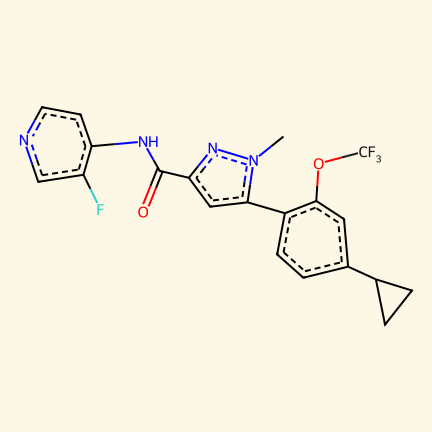 Cn1nc(C(=O)Nc2ccncc2F)cc1-c1ccc(C2CC2)cc1OC(F)(F)F